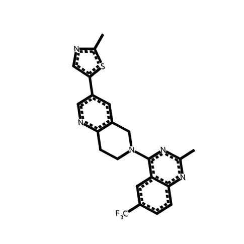 Cc1nc(N2CCc3ncc(-c4cnc(C)s4)cc3C2)c2cc(C(F)(F)F)ccc2n1